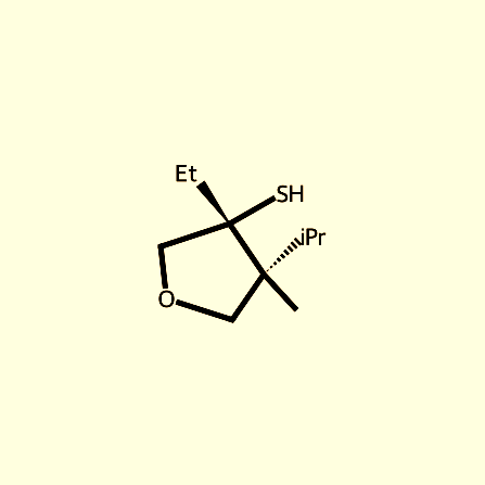 CC[C@]1(S)COC[C@@]1(C)C(C)C